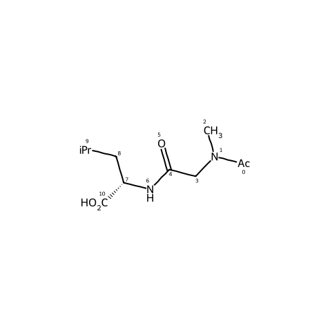 CC(=O)N(C)CC(=O)N[C@@H](CC(C)C)C(=O)O